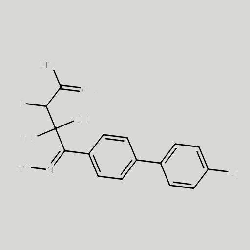 CC(C)(C(=NO)c1ccc(-c2ccc(Cl)cc2)cc1)C(F)C(=O)O